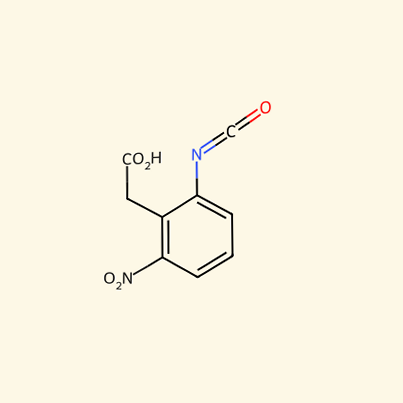 O=C=Nc1cccc([N+](=O)[O-])c1CC(=O)O